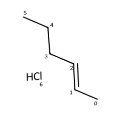 CC=CCCC.Cl